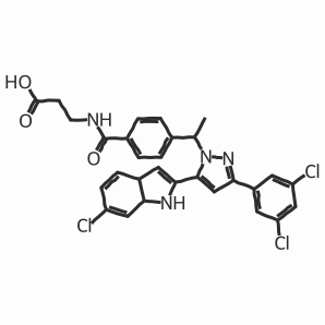 CC(c1ccc(C(=O)NCCC(=O)O)cc1)n1nc(-c2cc(Cl)cc(Cl)c2)cc1C1=CC2C=CC(Cl)=CC2N1